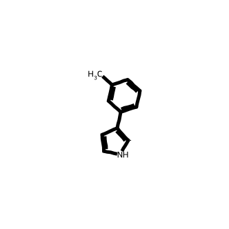 Cc1cccc(-c2[c][nH]cc2)c1